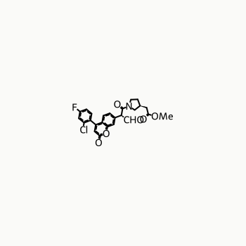 COC(=O)C[C@@H]1CCN(C(=O)[C@@H](C=O)c2ccc3c(-c4ccc(F)cc4Cl)cc(=O)oc3c2)C1